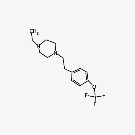 CCN1CCN(CCc2ccc(OC(F)(F)F)cc2)CC1